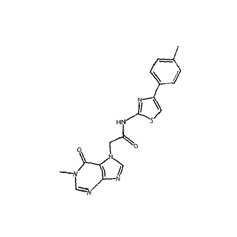 Cc1ccc(-c2csc(NC(=O)Cn3cnc4ncn(C)c(=O)c43)n2)cc1